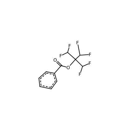 O=C(OC(C(F)F)(C(F)F)C(F)F)c1ccccc1